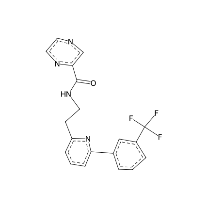 O=C(NCCc1cccc(-c2cccc(C(F)(F)F)c2)n1)c1cnccn1